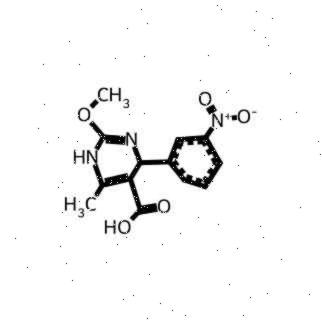 COC1=NC(c2cccc([N+](=O)[O-])c2)C(C(=O)O)=C(C)N1